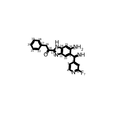 N=C(c1ccnc(F)c1)c1cc2nc(C(=O)Cc3ccccc3)[nH]c2cc1N